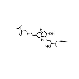 CC#CC[C@@H](C)[C@H](O)/C=C/[C@@H]1[C@H]2C/C(=C/CSCC(=O)N(C)C)C[C@H]2C[C@H]1O